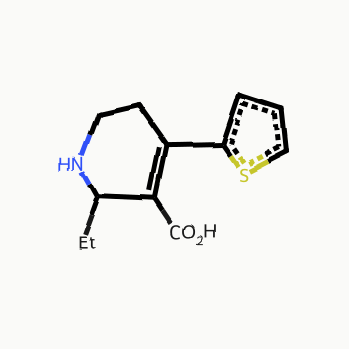 CCC1NCCC(c2cccs2)=C1C(=O)O